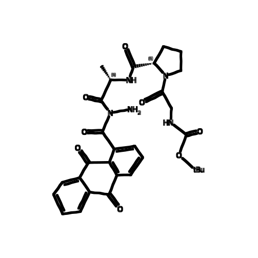 C[C@H](NC(=O)[C@@H]1CCCN1C(=O)CNC(=O)OC(C)(C)C)C(=O)N(N)C(=O)c1cccc2c1C(=O)c1ccccc1C2=O